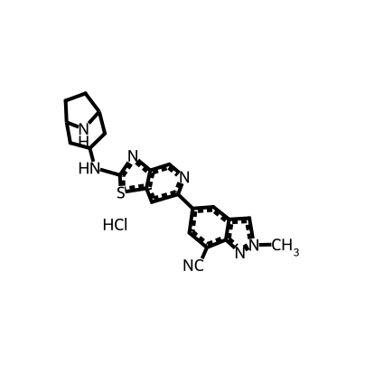 Cl.Cn1cc2cc(-c3cc4sc(NC5CC6CCC(C5)N6)nc4cn3)cc(C#N)c2n1